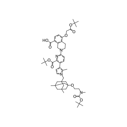 Cc1c(-c2ccc(N3CCc4c(OCC(=O)OC(C)(C)C)ccc(C(=O)O)c4C3)nc2C(=O)OC(C)(C)C)ccn1CC12CC3(C)CC(C)(C1)CC(OCCN(C)C(=O)OC(C)(C)C)(C3)C2